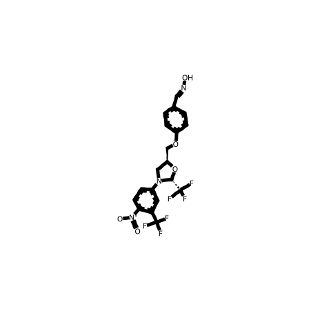 O=[N+]([O-])c1ccc(N2C[C@@H](COc3ccc(C=NO)cc3)O[C@@H]2C(F)(F)F)cc1C(F)(F)F